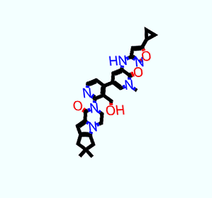 Cn1cc(-c2ccnc(N3CCn4c(cc5c4CC(C)(C)C5)C3=O)c2CO)cc(Nc2cc(C3CC3)on2)c1=O